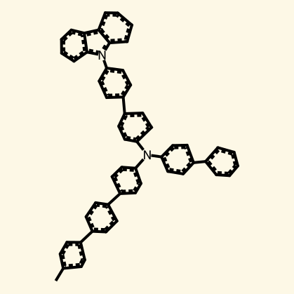 Cc1ccc(-c2ccc(-c3ccc(N(c4ccc(-c5ccccc5)cc4)c4ccc(-c5ccc(-n6c7ccccc7c7ccccc76)cc5)cc4)cc3)cc2)cc1